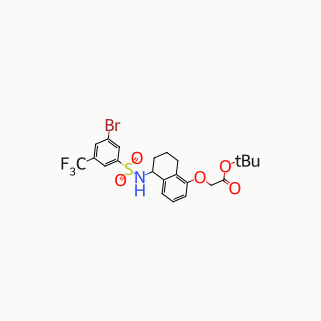 CC(C)(C)OC(=O)COc1cccc2c1CCCC2NS(=O)(=O)c1cc(Br)cc(C(F)(F)F)c1